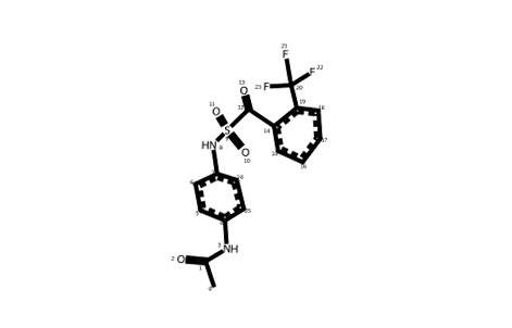 CC(=O)Nc1ccc(NS(=O)(=O)C(=O)c2ccccc2C(F)(F)F)cc1